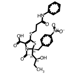 CC[C@H](O)[C@@H]1C(=O)N2C(C(=O)O)=C(SCCC(=O)Nc3ccccc3)S[C@]12Cc1ccc([N+](=O)[O-])cc1